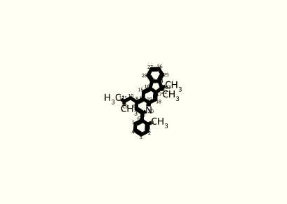 Cc1ccccc1-c1cc(CC(C)C)c2cc3c(cc2n1)C(C)(C)c1ccccc1-3